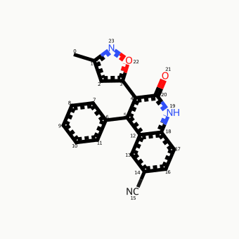 Cc1cc(-c2c(-c3ccccc3)c3cc(C#N)ccc3[nH]c2=O)on1